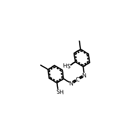 Cc1ccc(N=C=Nc2ccc(C)cc2S)c(S)c1